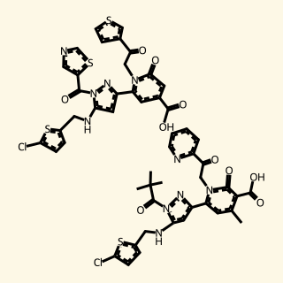 Cc1cc(-c2cc(NCc3ccc(Cl)s3)n(C(=O)C(C)(C)C)n2)n(CC(=O)c2ccccn2)c(=O)c1C(=O)O.O=C(O)c1cc(-c2cc(NCc3ccc(Cl)s3)n(C(=O)c3cncs3)n2)n(CC(=O)c2ccsc2)c(=O)c1